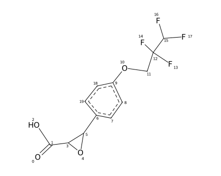 O=C(O)C1OC1c1ccc(OCC(F)(F)C(F)F)cc1